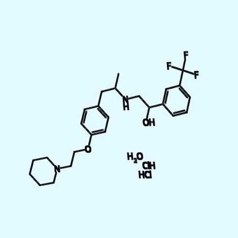 CC(Cc1ccc(OCCN2CCCCC2)cc1)NCC(O)c1cccc(C(F)(F)F)c1.Cl.Cl.O